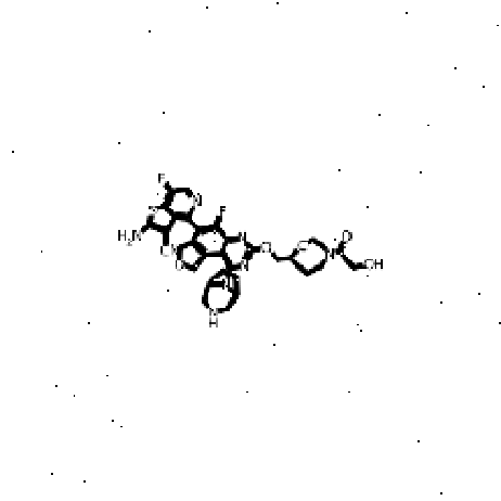 N#Cc1c(N)sc2c(F)cnc(-c3c4c(c5c(N6C7CCC6CNC7)nc(OCC6CCN(C(=O)CO)CC6)nc5c3F)COC4)c12